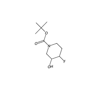 CC(C)(C)OC(=O)N1CCC(F)C(O)C1